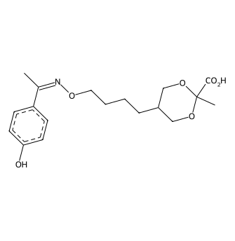 CC(=NOCCCCC1COC(C)(C(=O)O)OC1)c1ccc(O)cc1